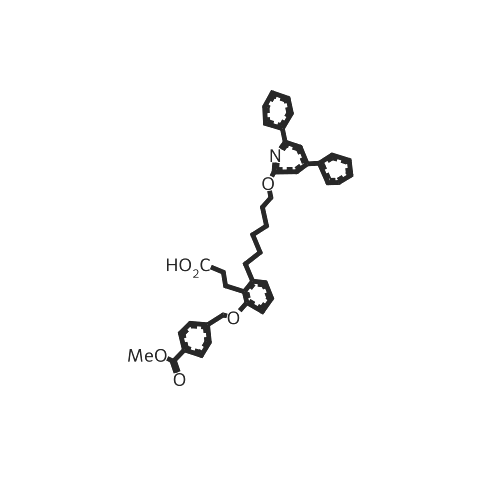 COC(=O)c1ccc(COc2cccc(CCCCCCOc3cc(-c4ccccc4)cc(-c4ccccc4)n3)c2CCC(=O)O)cc1